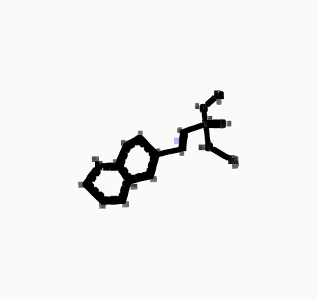 CCOP(=O)(/C=C/c1ccc2ncccc2c1)OCC